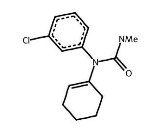 CNC(=O)N(C1=CCCCC1)c1cccc(Cl)c1